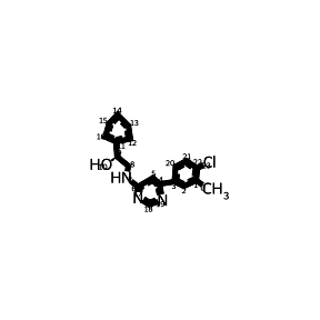 Cc1cc(-c2cc(NC[C@H](O)c3ccccc3)ncn2)ccc1Cl